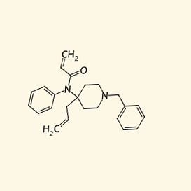 C=CCC1(N(C(=O)C=C)c2ccccc2)CCN(Cc2ccccc2)CC1